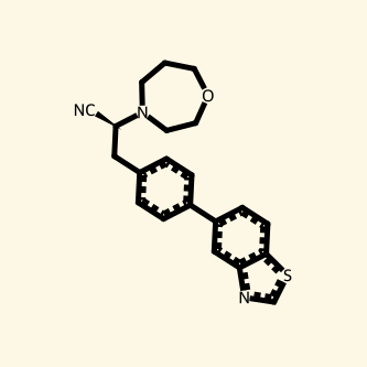 N#C[C@H](Cc1ccc(-c2ccc3scnc3c2)cc1)N1CCCOCC1